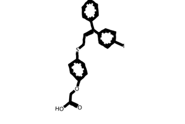 O=C(O)COc1ccc(SCC=C(c2ccccc2)c2ccc(I)cc2)cc1